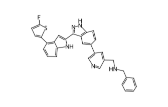 Fc1ccc(-c2cccc3[nH]c(-c4n[nH]c5ccc(-c6cncc(CNCc7ccccc7)c6)cc45)cc23)s1